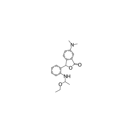 CCOC(C)Nc1ccccc1C1OC(=O)c2cc(N(C)C)ccc21